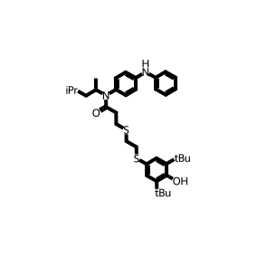 CC(C)CC(C)N(C(=O)CCSCCSc1cc(C(C)(C)C)c(O)c(C(C)(C)C)c1)c1ccc(Nc2ccccc2)cc1